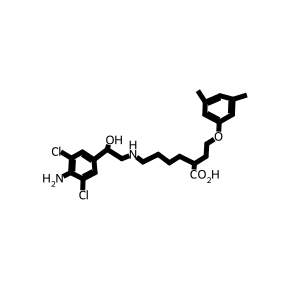 Cc1cc(C)cc(OCCC(CCCCNCC(O)c2cc(Cl)c(N)c(Cl)c2)C(=O)O)c1